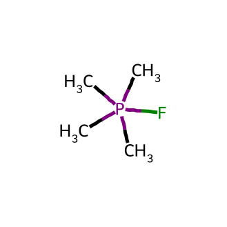 CP(C)(C)(C)F